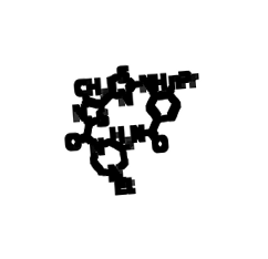 CCCc1ccc(C(N)=O)cc1Nc1nc(-c2sc(C(=O)N3CCCN(CC)CC3)nc2C)cs1